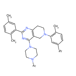 CC(=O)N1CCN(c2nc(-c3cc(C)ccc3C)nc3c2CN(c2cc(C(C)C)ccc2C)CC3)CC1